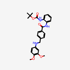 COc1ccc(NCc2ccc(C(=O)Nc3ccccc3NC(=O)OC(C)(C)C)cc2)cc1OC